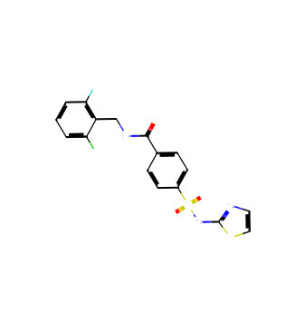 O=C(NCc1c(F)cccc1Cl)c1ccc(S(=O)(=O)Nc2nccs2)cc1